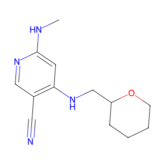 CNc1cc(NCC2CCCCO2)c(C#N)cn1